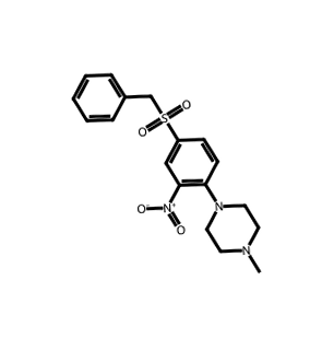 CN1CCN(c2ccc(S(=O)(=O)Cc3ccccc3)cc2[N+](=O)[O-])CC1